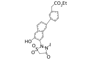 CCOC(=O)Cc1cccc(-c2ccc3cc(O)c(N4N(I)C(=O)CS4(=O)=O)cc3c2)c1